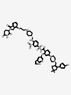 CC1(C)CCC(CN2CCN(c3ccc(C(=O)NS(=O)(=O)c4ccc(NC[C@H]5CC[C@H](NCCSc6cccc7c6CN(C6CCC(=O)NC6=O)C7=O)CC5)c([N+](=O)[O-])c4)c(Oc4cnc5[nH]ccc5c4)c3)CC2)=C(c2ccc(Cl)cc2)C1